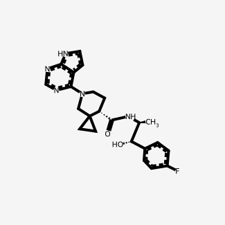 C[C@H](NC(=O)[C@H]1CCN(c2ncnc3[nH]ccc23)CC12CC2)[C@@H](O)c1ccc(F)cc1